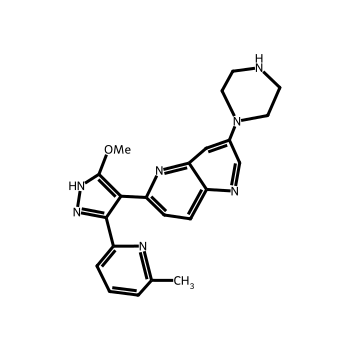 COc1[nH]nc(-c2cccc(C)n2)c1-c1ccc2ncc(N3CCNCC3)cc2n1